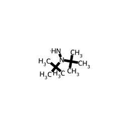 CC(C)(C)N([NH])C(C)(C)C